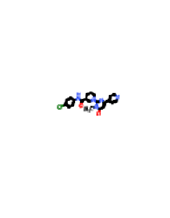 Cn1c(N2CCCC(C(=O)Nc3ccc(Cl)cc3)C2)nc(-c2ccncc2)cc1=O